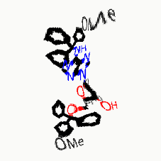 COc1ccc(C(Nc2ncnc3c2ncn3[C@@H]2C[C@@H](O)[C@H](COC(c3ccccc3)(c3ccccc3)c3ccc(OC)cc3)O2)(c2ccccc2)c2ccccc2)cc1